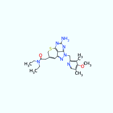 CCN(CC)C(=O)CC1=Cc2nn(Cc3ncc(C)c(OC)c3C)c3nc(N)nc(c23)SC1